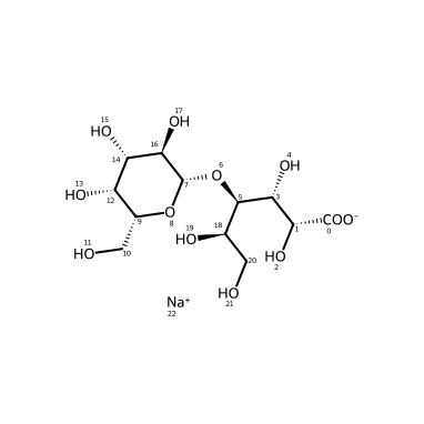 O=C([O-])[C@H](O)[C@@H](O)[C@H](O[C@@H]1O[C@H](CO)[C@H](O)[C@H](O)[C@H]1O)[C@H](O)CO.[Na+]